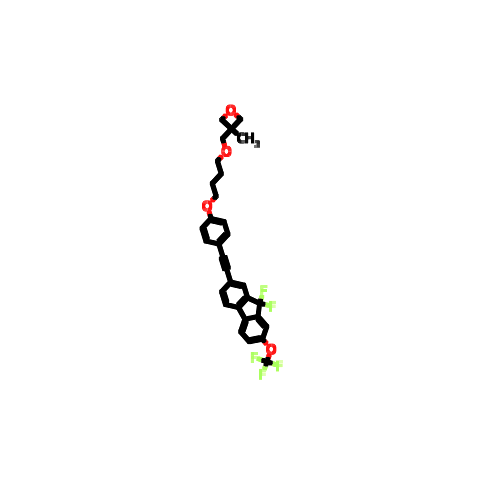 CC1(COCCCCOc2ccc(C#Cc3ccc4c(c3)C(F)(F)c3cc(OC(F)(F)F)ccc3-4)cc2)COC1